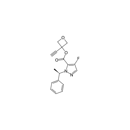 C#CC1(OC(=O)c2c(F)cnn2[C@H](C)c2ccccc2)COC1